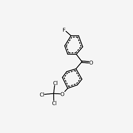 O=C(c1ccc(F)cc1)c1ccc(OC(Cl)(Cl)Cl)cc1